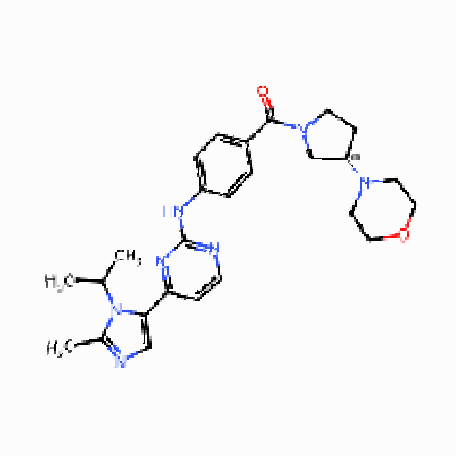 Cc1ncc(-c2ccnc(Nc3ccc(C(=O)N4CC[C@H](N5CCOCC5)C4)cc3)n2)n1C(C)C